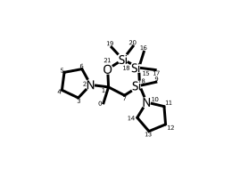 CC1(N2CCCC2)C[Si](C)(N2CCCC2)[Si](C)(C)[Si](C)(C)O1